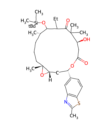 CCC1C(=O)C(C)(C)[C@@H](O)CC(=O)O[C@H](c2ccc3sc(C)nc3c2)C[C@@H]2O[C@]2(C)CCC[C@H](C)C1O[Si](C)(C)C(C)(C)C